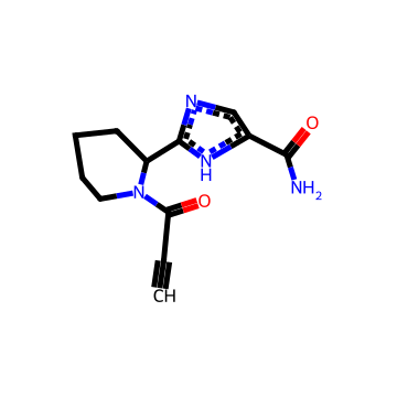 C#CC(=O)N1CCCCC1c1ncc(C(N)=O)[nH]1